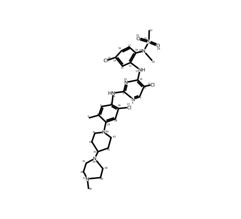 Cc1cc(Nc2ncc(Cl)c(Nc3cc(Cl)ccc3N(C)S(C)(=O)=O)n2)c(Cl)cc1N1CCC(N2CCN(C)CC2)CC1